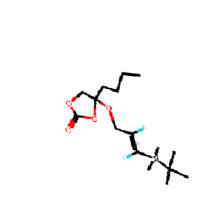 CCCCC1(OC/C(F)=C(\F)[Si](C)(C)C(C)(C)C)COC(=O)O1